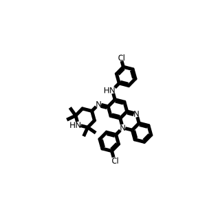 CC1(C)CC(N=c2cc3n(-c4cccc(Cl)c4)c4ccccc4nc-3cc2Nc2cccc(Cl)c2)CC(C)(C)N1